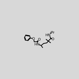 CC(C)NC(=O)C(C)(C)CCC(C)NC(=O)COc1ccccc1